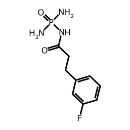 NP(N)(=O)NC(=O)CCc1cccc(F)c1